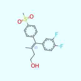 C/C(CCO)=C(\c1ccc(S(C)(=O)=O)cc1)c1ccc(F)c(F)c1